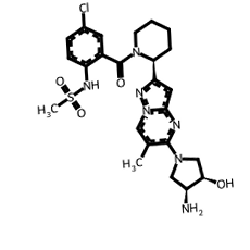 Cc1cn2nc([C@@H]3CCCCN3C(=O)c3cc(Cl)ccc3NS(C)(=O)=O)cc2nc1N1C[C@@H](O)[C@@H](N)C1